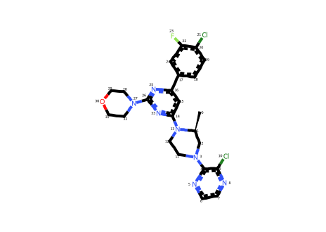 C[C@H]1CN(c2nccnc2Cl)CCN1c1cc(-c2ccc(Cl)c(F)c2)nc(N2CCOCC2)n1